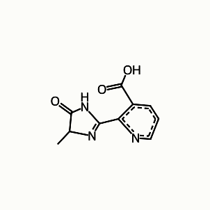 CC1N=C(c2ncccc2C(=O)O)NC1=O